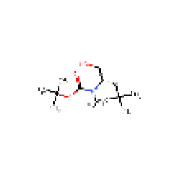 [CH2]C(C)(C)C[C@@H](CO)N(C)C(=O)OC(C)(C)C